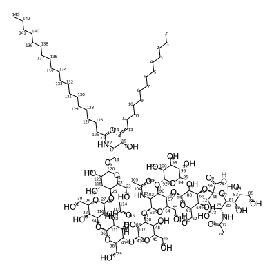 CCCCCCCCCCCCC/C=C/[C@@H](O)[C@H](CO[C@@H]1OC(CO)[C@@H](O[C@@H]2OC(CO)[C@H](O)[C@H](O[C@@H]3OC(CO)[C@@H](O[C@@H]4OC(CO)[C@H](O)[C@H](O[C@@H]5OC(CO)[C@@H](O[C@@H]6OC(CO)[C@H](O)[C@H](O[C@]7(C(=O)O)CC(O)[C@@H](NC(C)=O)C([C@H](O)[C@H](O)CO)O7)C6O)[C@H](O[C@H]6OC(C)[C@@H](O)C(O)[C@@H]6O)C5NC(C)=O)C4O)[C@H](O)C3NC(C)=O)C2O)[C@H](O)C1O)NC(=O)CCCCCCCCCCCCCCCCCCC